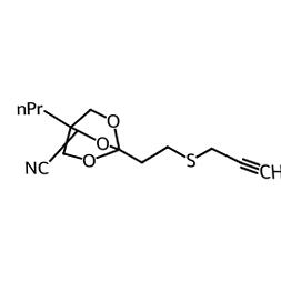 C#CCSCCC12OCC(CCC)(CO1)C(C#N)O2